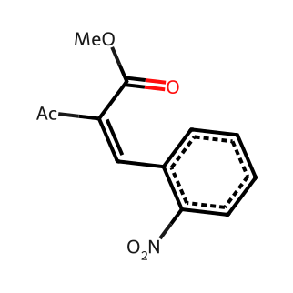 COC(=O)C(=Cc1ccccc1[N+](=O)[O-])C(C)=O